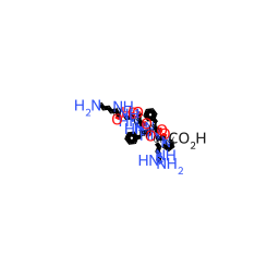 N=C(N)NCCC[C@H](NC(=O)[C@H](Cc1ccccc1)NC(=O)[C@H](Cc1ccccc1)NC(=O)[C@H](CO)NC(=O)CNC(=O)[C@@H](N)CCCCN)C(=O)N1CCC[C@H]1C(=O)O